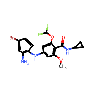 COc1cc(Nc2ccc(Br)cc2N)cc(OC(F)F)c1C(=O)NC1CC1